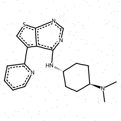 CN(C)[C@H]1CC[C@H](Nc2ncnc3scc(-c4ccccn4)c23)CC1